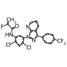 C=C(F)C(=O)Nc1cc(-n2nc(-c3ccc(C(F)(F)F)cc3)c3cccnc32)c(Cl)cc1Cl